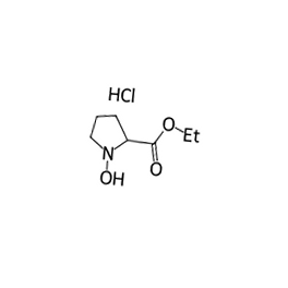 CCOC(=O)C1CCCN1O.Cl